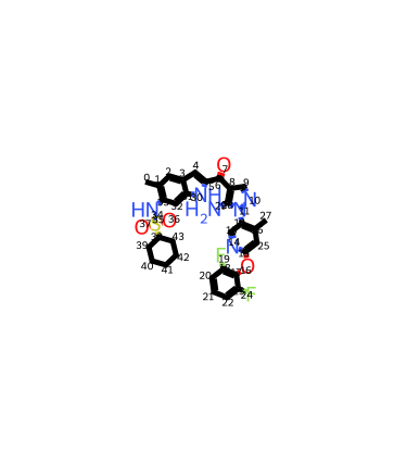 Cc1cc2cc(C(=O)c3cnn(-c4cnc(Oc5c(F)cccc5F)cc4C)c3N)[nH]c2cc1NS(=O)(=O)C1CCCCC1